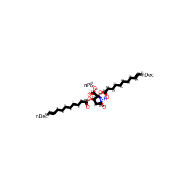 CCCCCCCCCCC=CCCCCCCCC(=O)OC1CC(=O)N[C@]1(OC(=O)CCCCCCCC=CCCCCCCCCCC)C(=O)OCCC